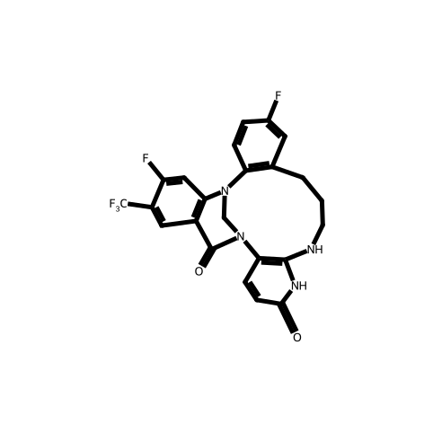 O=C1c2cc(C(F)(F)F)c(F)cc2N2CN1c1ccc(=O)[nH]c1NCCCc1cc(F)ccc12